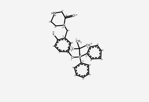 CC(C)(C)[Si](Oc1ccc(F)c(CN2CCNCC2=O)c1)(c1ccccc1)c1ccccc1